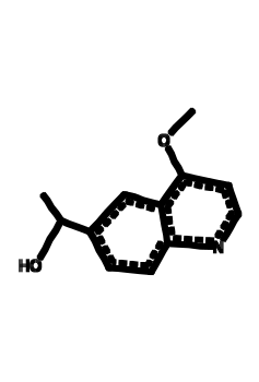 COc1ccnc2ccc(C(C)O)cc12